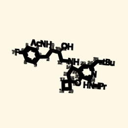 CC(=O)N[C@@H](Cc1ccc(F)cc1)[C@H](O)CN[C@H]1CC2(CCC2)Oc2c1cc(CC(C)(C)C)nc2NC(C)C